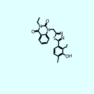 CCn1c(=O)c2ccccc2n(Cc2nnc(-c3ccc(F)c(O)c3F)s2)c1=O